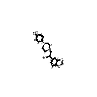 OC(CN1CCN(c2ccc(Cl)cc2)CC1)c1ccc2c(c1)OCO2